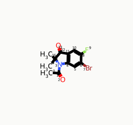 CC(=O)N1c2cc(Br)c(F)cc2C(=O)C1(C)C